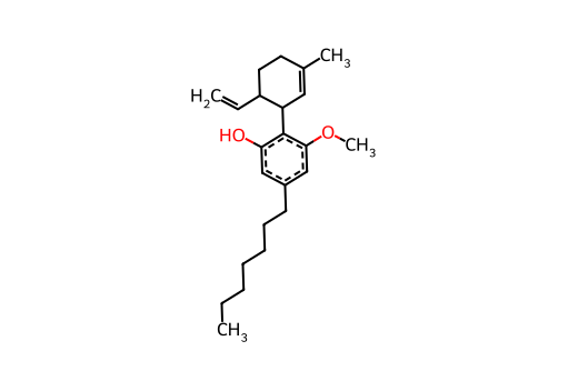 C=CC1CCC(C)=CC1c1c(O)cc(CCCCCCC)cc1OC